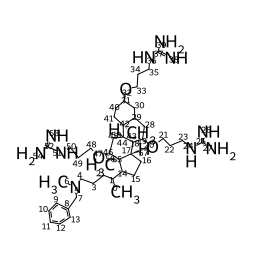 CC(CCCN(C)Cc1ccccc1)C1CC[C@H]2C3[C@H](OCCCNC(=N)N)CC4C[C@H](OCCCNC(=N)N)CC[C@]4(C)[C@H]3C[C@H](OCCCNC(=N)N)[C@]12C